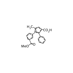 COC(=O)c1cccc(-n2c(C)cc(C(=O)O)c2-c2ccccc2)c1